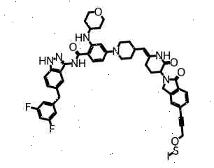 O=C(Nc1n[nH]c2ccc(Cc3cc(F)cc(F)c3)cc12)c1ccc(N2CCC(C=C3CCC(N4Cc5cc(C#CCOSI)ccc5C4=O)C(=O)N3)CC2)cc1NC1CCOCC1